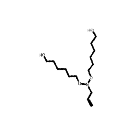 C=CCN(OCCCCCCO)OCCCCCCO